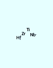 [Hf].[Nb].[Ti].[Zr]